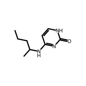 CCCC(C)Nc1cc[nH]c(=O)n1